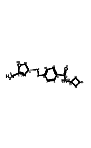 NC1=N[C@@H](CCc2ccc(C(=O)NC3CCC3)cc2)CO1